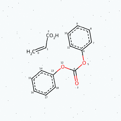 C=CC(=O)O.O=C(Oc1ccccc1)Oc1ccccc1